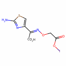 Nc1nc(/C(=N/OCC(=O)OI)C(=O)O)cs1